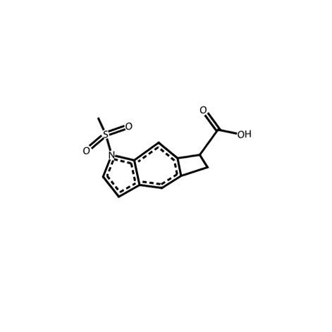 CS(=O)(=O)n1ccc2cc3c(cc21)C(C(=O)O)C3